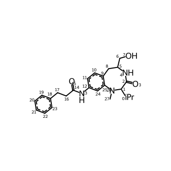 CC(C)C1C(=O)NC(CO)Cc2ccc(NC(=O)CCc3ccccc3)cc2N1C